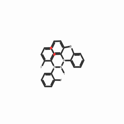 Fc1ccccc1P(c1ccccc1F)N(I)P(c1ccccc1F)c1ccccc1F